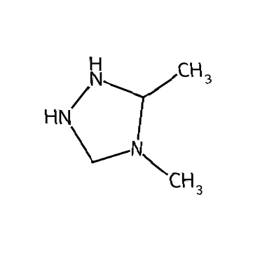 CC1NNCN1C